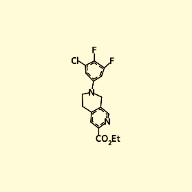 CCOC(=O)c1cc2c(cn1)CN(c1cc(F)c(F)c(Cl)c1)CC2